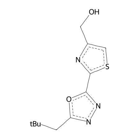 CC(C)(C)Cc1nnc(-c2nc(CO)cs2)o1